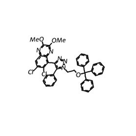 COc1nc2cc(Cl)c(Cl)c(-c3nnn(CCOC(c4ccccc4)(c4ccccc4)c4ccccc4)c3-c3ccccc3)c2nc1OC